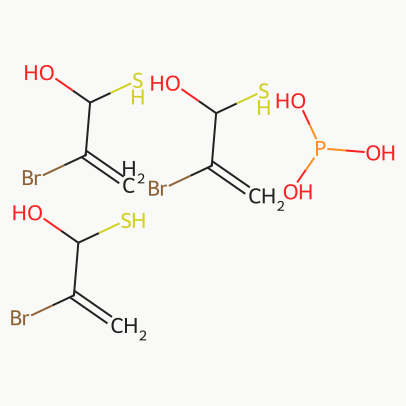 C=C(Br)C(O)S.C=C(Br)C(O)S.C=C(Br)C(O)S.OP(O)O